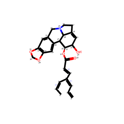 C=C/C=C(\C=C/C)/C=C/C(=O)O[C@@H]1C(O)C=C2CCN3Cc4cc5c(cc4C1C23)OCO5